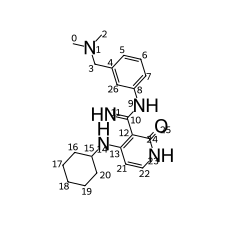 CN(C)Cc1cccc(NC(=N)c2c(NC3CCCCC3)cc[nH]c2=O)c1